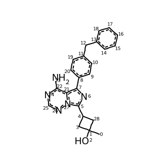 CC1(O)CC(c2nc(-c3ccc(Cc4ccccc4)cc3)c3c(N)ncnn23)C1